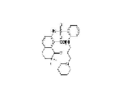 CC1CCCCN1CCCNc1ccccc1S(=O)(=O)Nc1ccc2c(c1C(=O)O)C(=O)C(C)(C)CC2